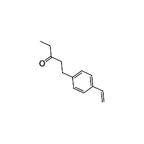 C=Cc1ccc(CCC(=O)CC)cc1